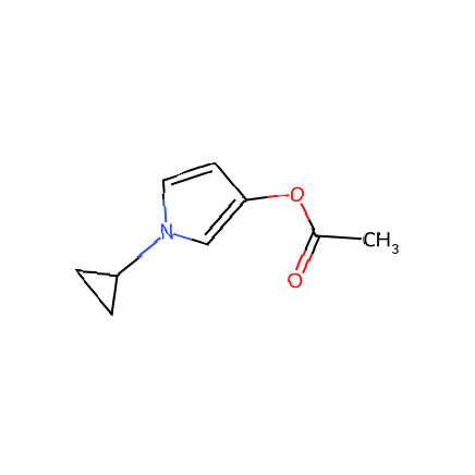 CC(=O)Oc1ccn(C2CC2)c1